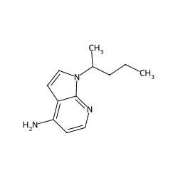 CCCC(C)n1ccc2c(N)ccnc21